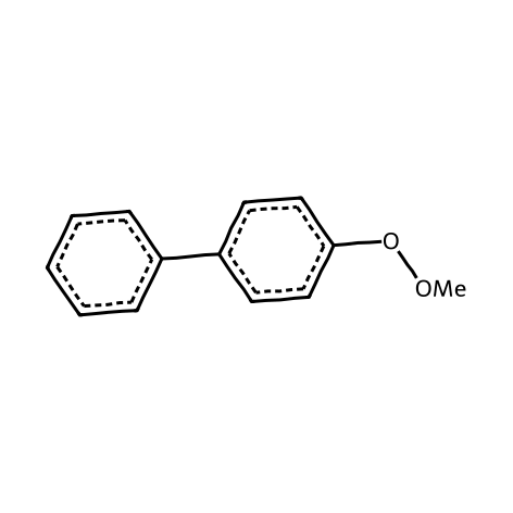 COOc1ccc(-c2ccccc2)cc1